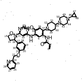 C=CC(=O)Nc1cc(Nc2cc(N3OCCC3c3cccc(OCc4ccccn4)c3)ncn2)c(OC)cc1N1CCC(N2CCN(C3CC3)CC2)CC1